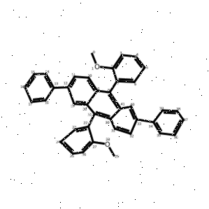 COc1ccccc1-c1c2ccc(-c3ccccc3)cc2c(-c2ccccc2OC)c2ccc(-c3ccccc3)cc12